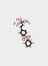 C[C@](O)(/C=C/c1ccc(S(=O)(=O)c2ccccc2)cc1)C(F)(F)F